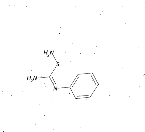 NSC(N)=Nc1ccccc1